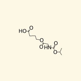 CC(C)OC(=O)NCC(=O)OCCCC(=O)O